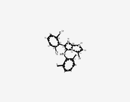 Cc1cccc(C)c1Nc1c(-c2c(F)cccc2Cl)nc2scc(C)n12